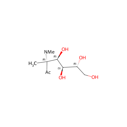 CN[C@@](C)(C(C)=O)[C@@H](O)[C@H](O)[C@H](O)CO